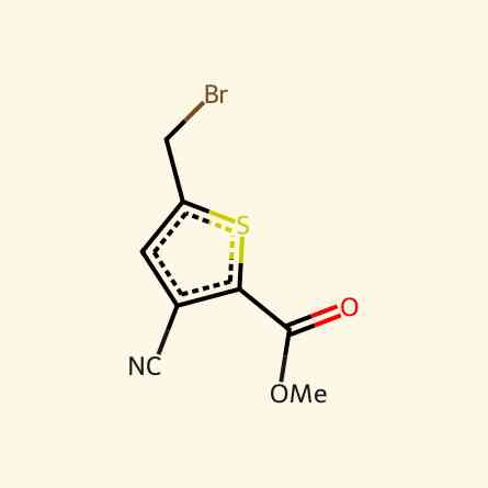 COC(=O)c1sc(CBr)cc1C#N